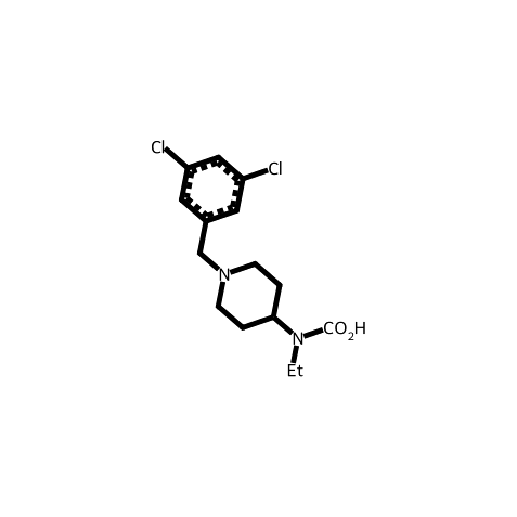 CCN(C(=O)O)C1CCN(Cc2cc(Cl)cc(Cl)c2)CC1